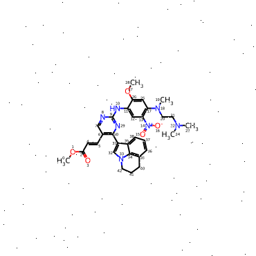 COC(=O)C=Cc1cnc(Nc2cc([N+](=O)[O-])c(N(C)CCN(C)C)cc2OC)nc1-c1cn2c3c(cccc13)CCC2